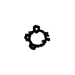 C[C@@H]1NCc2cccc(c2)Nc2ncnc(n2)-c2cccc(c2)NCCNC1=O